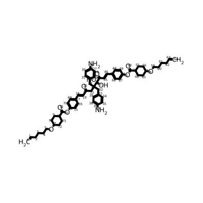 C=CCCCCOC1CCC(C(=O)Oc2ccc(/C=C/C(=O)CC(Cc3ccc(N)cc3)(Cc3ccc(N)cc3)C(O)(O)C(=O)/C=C/c3ccc(OC(=O)C4CCC(OCCCCC=C)CC4)cc3)cc2)CC1